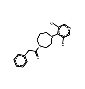 O=C(Cc1ccccc1)N1CCCN(c2c(Cl)cncc2Cl)CC1